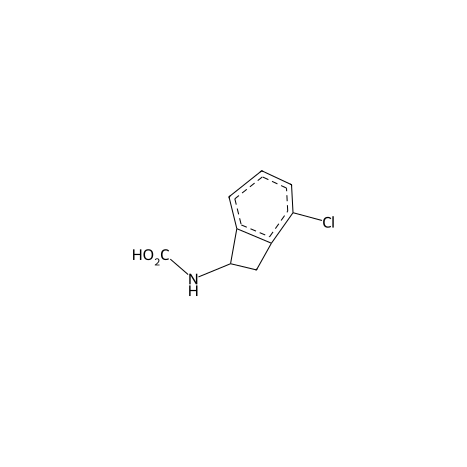 O=C(O)NC1Cc2c(Cl)cccc21